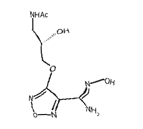 CC(=O)NC[C@H](O)COc1nonc1/C(N)=N/O